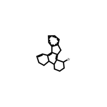 [Zr][CH]1CCCC2C1=C1Cc3ccccc3C1=C1C=CCCC12